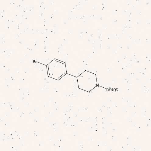 CCCCCN1CCC(c2ccc(Br)cc2)CC1